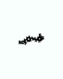 N#C/C(F)=C/[C@H]1CC[C@H](CCCCc2ccc(F)c(F)c2)CC1